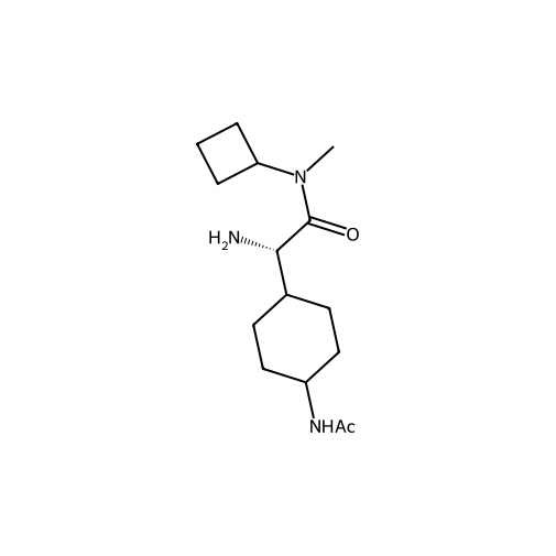 CC(=O)NC1CCC([C@H](N)C(=O)N(C)C2CCC2)CC1